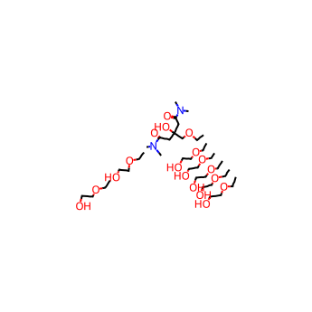 CCOCC(O)(CC(=O)N(C)C)CC(=O)N(C)C.CCOCCO.CCOCCO.CCOCCO.CCOCCO.CCOCCO.CCOCCO.CCOCCO